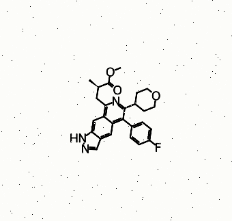 COC(=O)[C@H](C)Cc1nc(C2CCOCC2)c(-c2ccc(F)cc2)c2cc3cn[nH]c3cc12